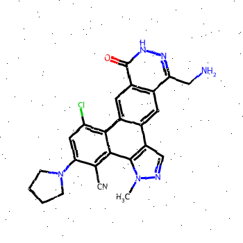 Cn1ncc2c3cc4c(CN)n[nH]c(=O)c4cc3c3c(Cl)cc(N4CCCC4)c(C#N)c3c21